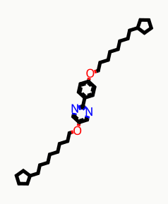 c1cc(-c2ncc(OCCCCCCCCC3CCCC3)cn2)ccc1OCCCCCCCCC1CCCC1